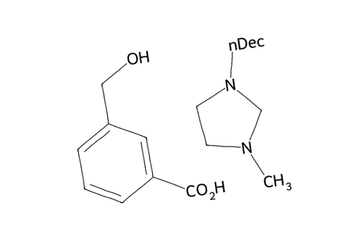 CCCCCCCCCCN1CCN(C)C1.O=C(O)c1cccc(CO)c1